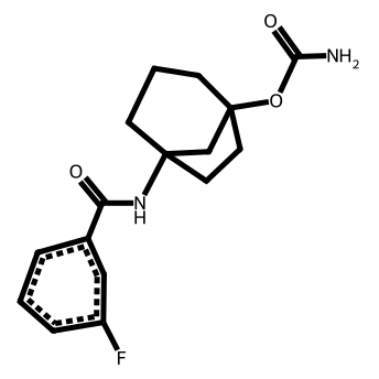 NC(=O)OC12CCCC(NC(=O)c3cccc(F)c3)(CC1)C2